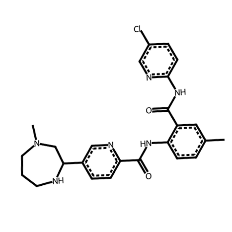 Cc1ccc(NC(=O)c2ccc(C3CN(C)CCCN3)cn2)c(C(=O)Nc2ccc(Cl)cn2)c1